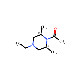 CCN1C[C@@H](C)N(C(C)=O)[C@@H](C)C1